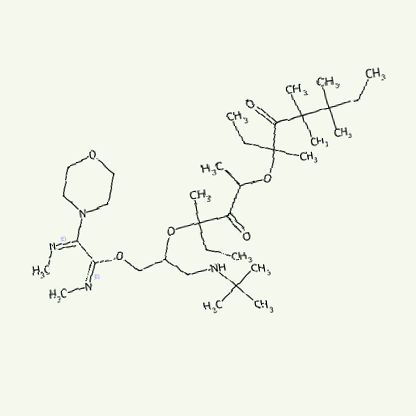 CCC(C)(OC(CNC(C)(C)C)COC(=N/C)/C(=N\C)N1CCOCC1)C(=O)C(C)OC(C)(CC)C(=O)C(C)(C)C(C)(C)CC